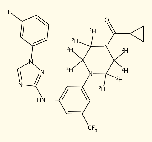 [2H]C1([2H])N(C(=O)C2CC2)C([2H])([2H])C([2H])([2H])N(c2cc(Nc3ncn(-c4cccc(F)c4)n3)cc(C(F)(F)F)c2)C1([2H])[2H]